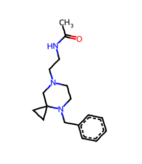 CC(=O)NCCN1CCN(Cc2ccccc2)C2(CC2)C1